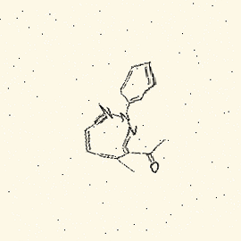 CC(=O)c1nn(-c2ccccc2)nccccc1C